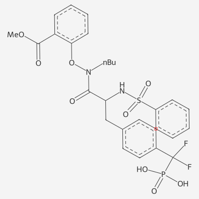 CCCCN(Oc1ccccc1C(=O)OC)C(=O)C(Cc1ccc(C(F)(F)P(=O)(O)O)cc1)NS(=O)(=O)c1ccccc1